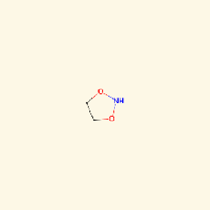 C1CONO1